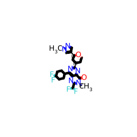 Cn1cc([C@@H]2C[C@H](c3nc(C4CCC(F)(F)CC4)c4nc(C(F)F)n(C)c(=O)c4n3)CCO2)cn1